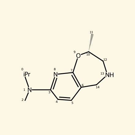 CC(C)N(C)c1ccc2c(n1)O[C@H](C)CNC2